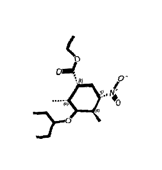 CCOC(=O)[C@@H]1C[C@H]([N+](=O)[O-])[C@@H](C)C(OC(CC)CC)[C@@H]1C